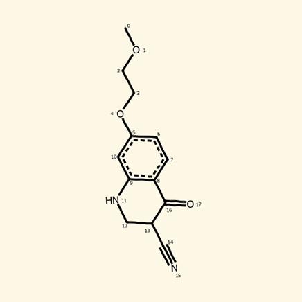 COCCOc1ccc2c(c1)NCC(C#N)C2=O